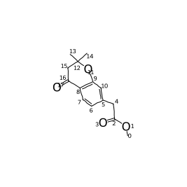 COC(=O)Cc1ccc2c(c1)OC(C)(C)CC2=O